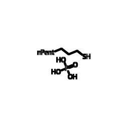 CCCCCCCCS.O=P(O)(O)O